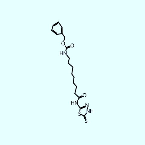 O=C(CCCCCCCCNC(=O)OCc1ccccc1)Nc1n[nH]c(=S)s1